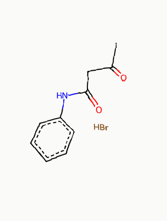 Br.CC(=O)CC(=O)Nc1ccccc1